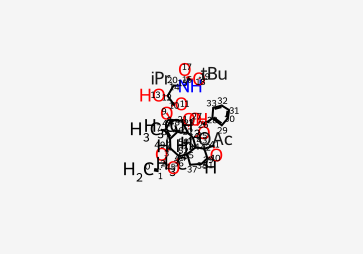 C=C[C@@H]1O[C@@H]2C3=C(C)[C@@H](OC(=O)[C@H](O)[C@@H](NC(=O)OC(C)(C)C)C(C)C)C[C@@](O)([C@@H](OC(=O)c4ccccc4)[C@H]4[C@@](C)(CC[C@H]5OC[C@]54OC(C)=O)[C@@H]2O1)C3(C)C